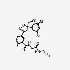 Cc1ccc(C2=NO[C@@](CC(F)(F)F)(c3cc(Cl)cc(Cl)c3)C2)cc1C(=O)NCC(=O)NCC(F)(F)F